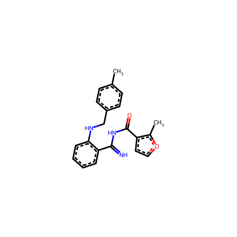 Cc1ccc(CNc2ccccc2C(=N)NC(=O)c2ccoc2C)cc1